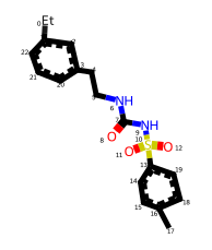 CCc1[c]c(CCNC(=O)NS(=O)(=O)c2ccc(C)cc2)ccc1